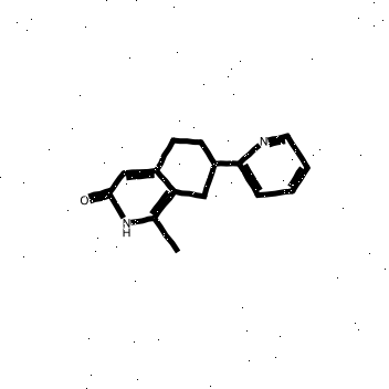 Cc1[nH]c(=O)cc2c1CC(c1ccccn1)CC2